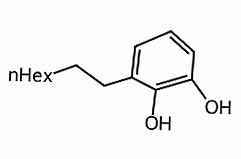 CCCCCCCCc1cccc(O)c1O